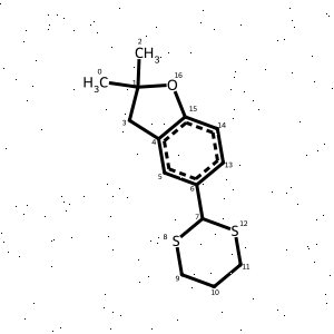 CC1(C)Cc2cc(C3SCCCS3)ccc2O1